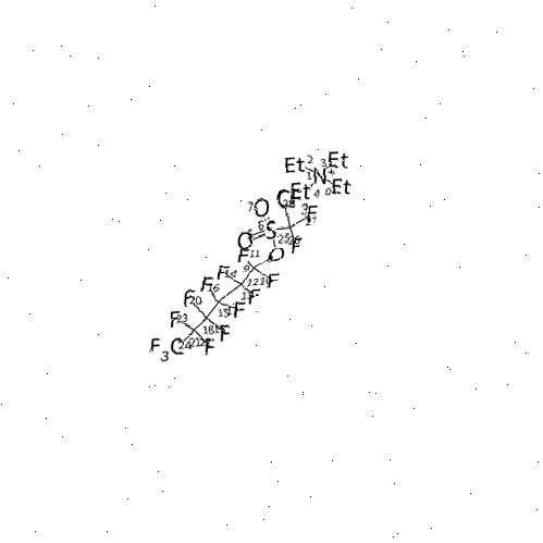 CC[N+](CC)(CC)CC.O=S(=O)(OC(F)(F)C(F)(F)C(F)(F)C(F)(F)C(F)(F)C(F)(F)F)C(F)(F)C(F)(F)F